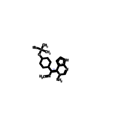 C=N/C(=C1/c2cc[nH]c2N=CN1N)C1CCC(O[Si](C)(C)C(C)(C)C)CC1